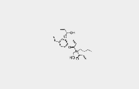 C=CC(=O)O.C=CC(=O)[N+](CO)(CCCC)C(=O)C=C.C=Cc1ccccc1